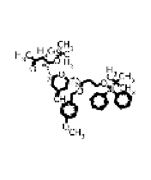 C=C1C[C@H](C[C@H](CC(C)=O)O[Si](C)(C)C)O[C@H](C[C@H](CCO[Si](c2ccccc2)(c2ccccc2)C(C)(C)C)OCc2ccc(OC)cc2)C1